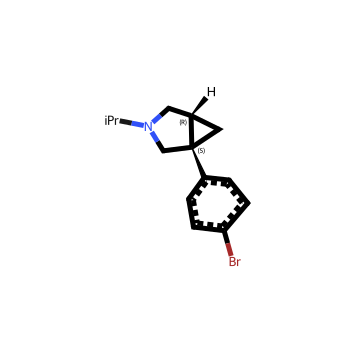 CC(C)N1C[C@@H]2C[C@]2(c2ccc(Br)cc2)C1